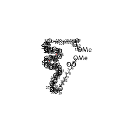 COCCOC(=O)CCCCCCCCCCO[Si](C)(C)O[Si](C)(C)O[Si](C)(C)O[Si](C)(C)O[Si](C)(C)O[Si](C)(C)O[Si](C)(C)O[Si](C)(C)O[Si](C)(C)O[Si](C)(C)O[Si](C)(C)O[Si](C)(C)O[Si](C)(C)O[Si](C)(C)O[Si](C)(C)O[Si](C)(C)O[Si](C)(C)O[Si](C)(C)O[Si](C)(C)O[Si](C)(C)OCCCCCCCCCCC(=O)OCCOC